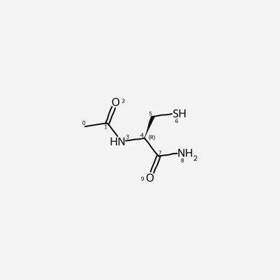 CC(=O)N[C@@H](CS)C(N)=O